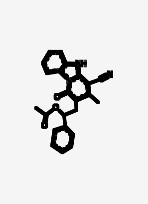 CC(=O)OC(Cc1c(C)c(C#N)c2[nH]c3ccccc3n2c1=O)c1ccccc1